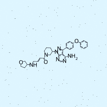 Nc1ncnc2c1c(-c1ccc(Oc3ccccc3)cc1)nn2[C@@H]1CCCN(C(=O)/C=C/CN[C@H]2CCOC2)C1